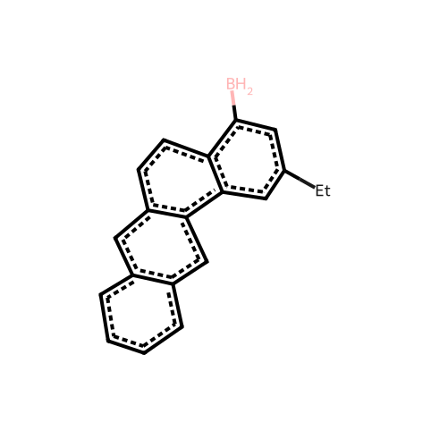 Bc1cc(CC)cc2c1ccc1cc3ccccc3cc12